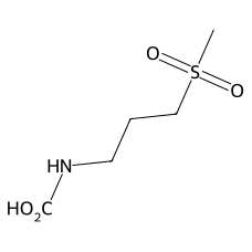 CS(=O)(=O)CCCNC(=O)O